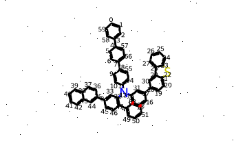 c1ccc(-c2ccc(-c3ccc(N(c4cccc(-c5ccc6sc7ccccc7c6c5)c4)c4cc(-c5ccc6ccccc6c5)ccc4-c4ccccc4)cc3)cc2)cc1